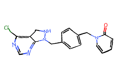 O=c1ccccn1Cc1ccc(CN2NCc3c(Cl)ncnc32)cc1